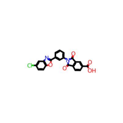 O=C(O)c1ccc2c(c1)C(=O)N(c1cccc(-c3nc4cc(Cl)ccc4o3)c1)C2=O